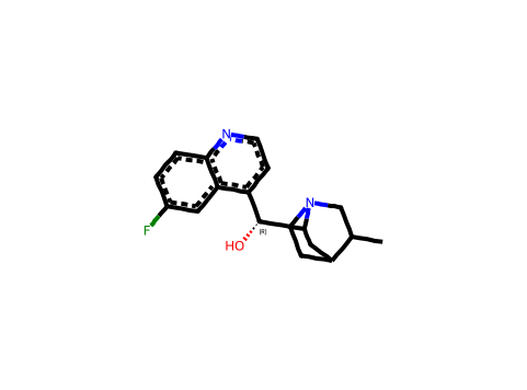 CC1CN2CCC1CC2[C@H](O)c1ccnc2ccc(F)cc12